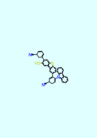 N#CC1C=C(c2ccc3sc4cc(C5=CC=CC(C#N)C5)c(S)cc4c3c2)C(n2c3ccccc3c3ccccc32)=CC1